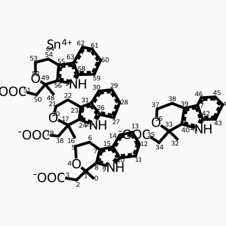 CC1(CC(=O)[O-])OCCc2c1[nH]c1ccccc21.CC1(CC(=O)[O-])OCCc2c1[nH]c1ccccc21.CC1(CC(=O)[O-])OCCc2c1[nH]c1ccccc21.CC1(CC(=O)[O-])OCCc2c1[nH]c1ccccc21.[Sn+4]